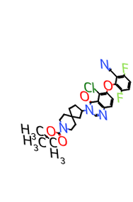 CC(C)(C)OC(=O)N1CCC2(CCC(n3cnc4ccc(Oc5c(F)ccc(F)c5C#N)c(Cl)c4c3=O)C2)CC1